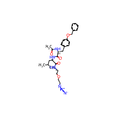 CC(=O)N[C@@H](Cc1ccc(OCc2ccccc2)cc1)C(=O)N[C@H](CC(C)C)C(=O)NCCOCCN=[N+]=[N-]